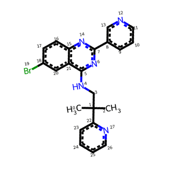 CC(C)(CNc1nc(-c2cccnc2)nc2ccc(Br)cc12)c1ccccn1